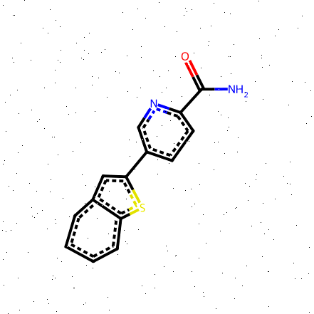 NC(=O)c1ccc(-c2cc3ccccc3s2)cn1